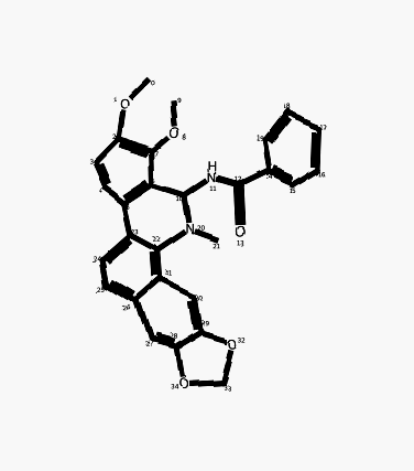 COc1ccc2c(c1OC)C(NC(=O)c1ccccc1)N(C)c1c-2ccc2cc3c(cc12)OCO3